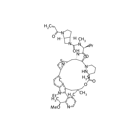 C=CC(=O)N1CC[C@@H]2[C@H]1CN2C(=O)N(C)[C@H](C(=O)N[C@H]1Cc2nc(cs2)-c2ccc3c(c2)c(c(-c2cccnc2[C@H](C)OC)n3CC)CC(C)(C)COC(=O)[C@@]2([SiH3])CCCN(N2)C1=O)C(C)C